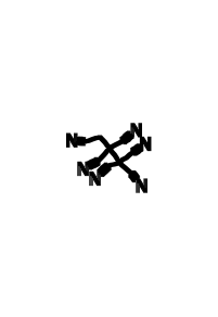 N#CCC(C#N)(C#N)C(C#N)(C#N)C#N